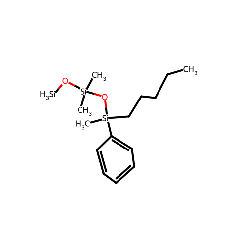 CCCCC[Si](C)(O[Si](C)(C)O[SiH3])c1ccccc1